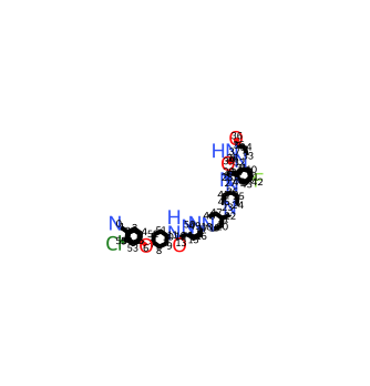 N#Cc1ccc(O[C@H]2CC[C@H](NC(=O)c3ccc(N4CCC(CN5CCC(n6ncc7c(N8CCC(=O)NC8=O)cc(F)cc76)CC5)CC4)nn3)CC2)cc1Cl